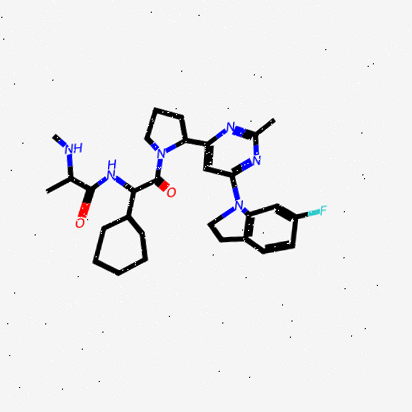 CNC(C)C(=O)NC(C(=O)N1CCCC1c1cc(N2CCc3ccc(F)cc32)nc(C)n1)C1CCCCC1